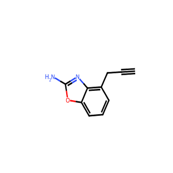 C#CCc1cccc2oc(N)nc12